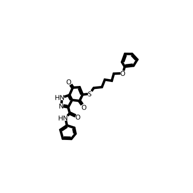 O=C(Nc1ccccc1)c1n[nH]c2c1C(=O)C(SCCCCCOc1ccccc1)=CC2=O